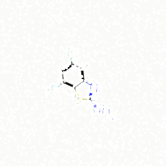 Nc1nc2cc(F)cc(F)c2s1